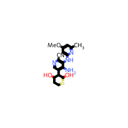 COc1cc(C)nc(Nc2c(C#N)ncc(C3C(O)CCSC3O)c2N)c1